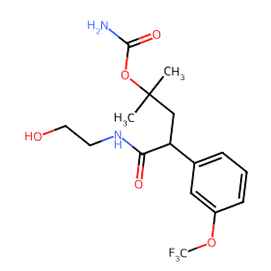 CC(C)(CC(C(=O)NCCO)c1cccc(OC(F)(F)F)c1)OC(N)=O